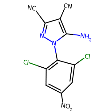 N#Cc1nn(-c2c(Cl)cc([N+](=O)[O-])cc2Cl)c(N)c1C#N